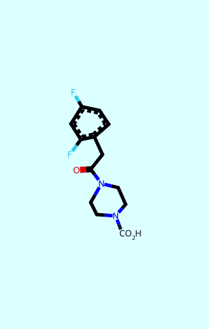 O=C(O)N1CCN(C(=O)Cc2ccc(F)cc2F)CC1